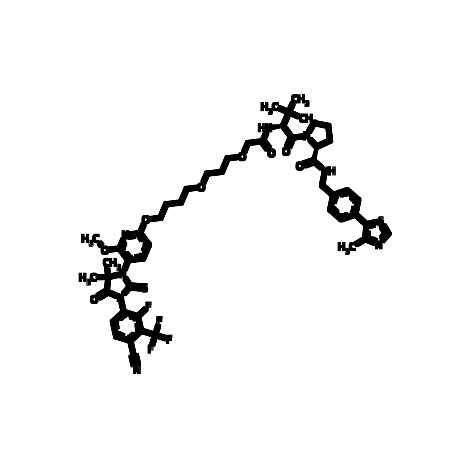 COc1nc(OCCCCOCCCOCC(=O)N[C@H](C(=O)N2CCC[C@H]2C(=O)NCc2ccc(-c3scnc3C)cc2)C(C)(C)C)ccc1N1C(=S)N(c2ccc(C#N)c(C(F)(F)F)c2F)C(=O)C1(C)C